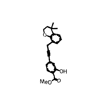 COC(=O)c1ccc(C#CCc2cccc3c2OCCC3(C)C)cc1O